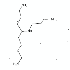 NCCCCC(CCCN)NCCCN